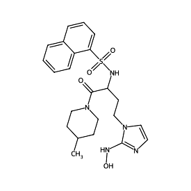 CC1CCN(C(=O)C(CCn2ccnc2NO)NS(=O)(=O)c2cccc3ccccc23)CC1